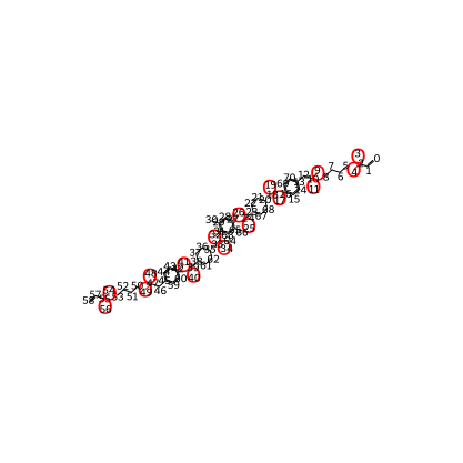 C=CC(=O)OCCCCOC(=O)Cc1ccc(OC(=O)[C@H]2CC[C@H](C(=O)Oc3cc(C)c(OC(=O)[C@H]4CC[C@H](C(=O)Oc5ccc(CC(=O)OCCCCOC(=O)C=C)cc5)CC4)c(C)c3C)CC2)cc1